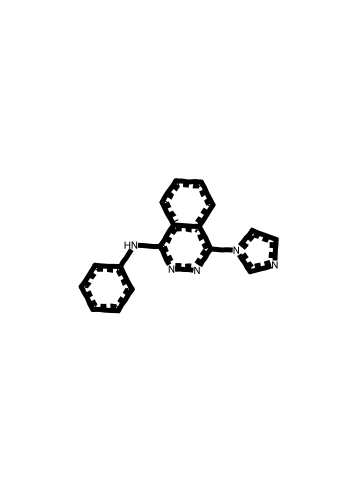 c1ccc(Nc2nnc(-n3ccnc3)c3ccccc23)cc1